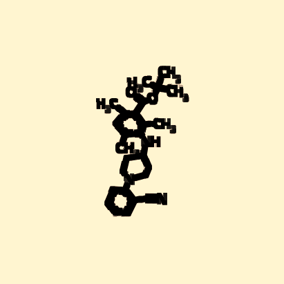 Cc1cc(C)c(C(=O)OC(C)(C)C)c(C)c1NC1CCN(c2ccccc2C#N)CC1